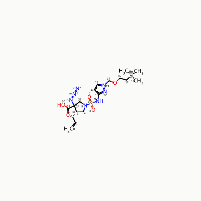 C=CC[C@H]1CN(S(=O)(=O)Nc2ccn(COCC[Si](C)(C)C)n2)C[C@@]1(N=[N+]=[N-])C(=O)O